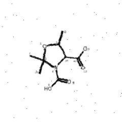 CC1OC(C)(C)N(C(=O)O)C1C(=O)Cl